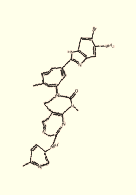 Bc1cc2nc(-c3ccc(C)c(N4Cc5cnc(Nc6ccc(C)nc6)nc5N(C)C4=O)c3)[nH]c2cc1Br